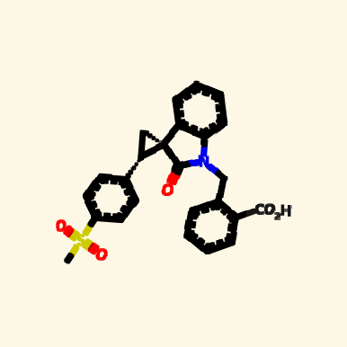 CS(=O)(=O)c1ccc([C@@H]2C[C@]23C(=O)N(Cc2ccccc2C(=O)O)c2ccccc23)cc1